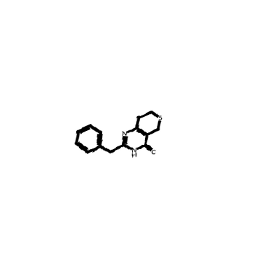 O=c1[nH]c(Cc2ccccc2)nc2c1CSCC2